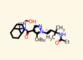 CCC(=O)NC(C)(C)/C=C/n1ncc(C(=O)N[C@H]2C3CCCC2C[C@@H](CO)C3)c1OCC(C)C